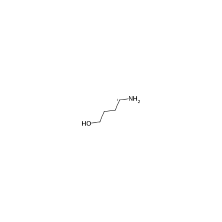 N[C]CCCO